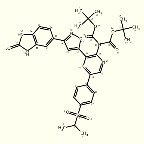 CC(C)S(=O)(=O)c1ccc(-c2cnc(N(C(=O)OC(C)(C)C)C(=O)OC(C)(C)C)c(-c3cc(-c4ccc5[nH]c(=O)[nH]c5c4)no3)n2)cc1